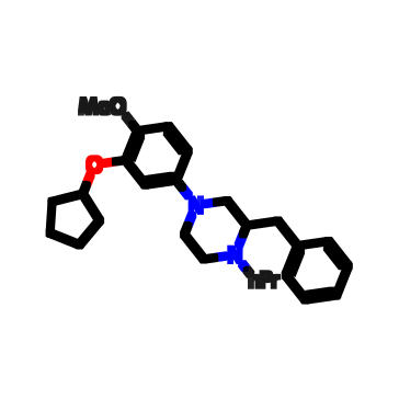 CCCN1CCN(c2ccc(OC)c(OC3CCCC3)c2)CC1Cc1ccccc1